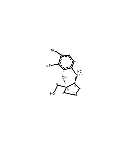 Cl.N#Cc1ccc(O[C@H]2CNC[C@@]2(O)CO)cc1F